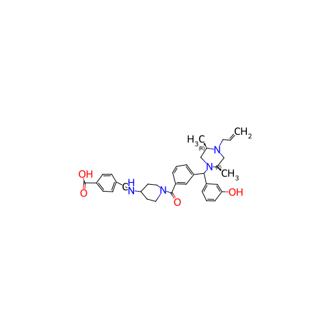 C=CCN1C[C@@H](C)N(C(c2cccc(O)c2)c2cccc(C(=O)N3CCC(NCc4ccc(C(=O)O)cc4)CC3)c2)C[C@H]1C